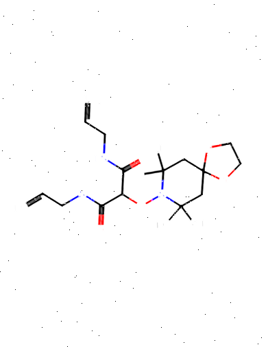 C=CCNC(=O)C(ON1C(C)(C)CC2(CC1(C)C)OCCO2)C(=O)NCC=C